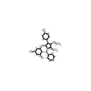 COc1c(-c2ccc(Cl)cc2)c(Sc2cc(Cl)cc(Cl)c2)n(Cc2ccncc2)c1C